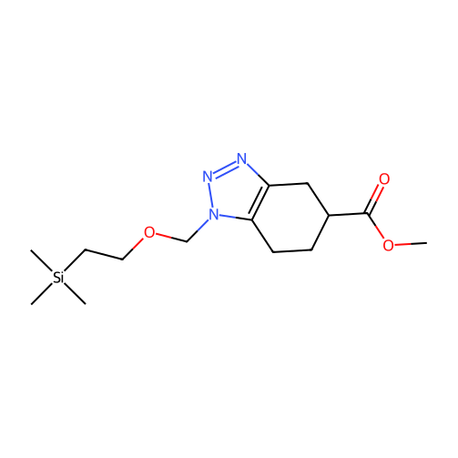 COC(=O)C1CCc2c(nnn2COCC[Si](C)(C)C)C1